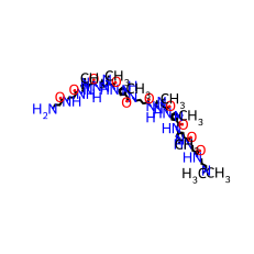 CN(C)CCCNC(=O)CCNC(=O)c1cc(NC(=O)c2cc(NC(=O)c3nc(NC(=O)CCCNC(=O)c4cc(NC(=O)c5nc(NC(=O)c6nc(NC(=O)CCNC(=O)CCN)cn6C)cn5C)cn4C)cn3C)cn2C)cn1C